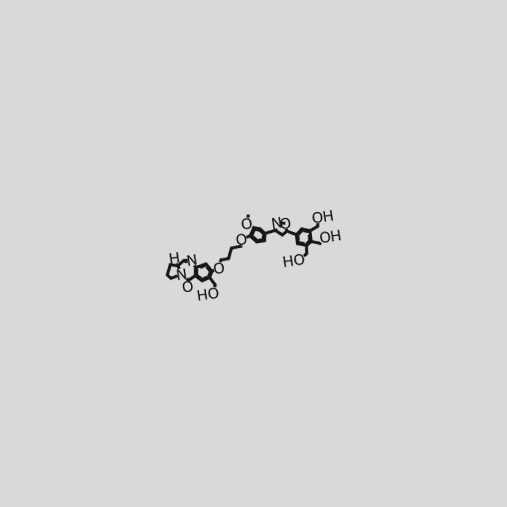 COc1cc(C2=NOC(c3cc(CO)c(CO)c(CO)c3)C2)ccc1OCCCCOc1cc2c(cc1CO)C(=O)N1CCC[C@H]1C=N2